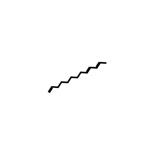 C=CCCCCCCC=CC=CC